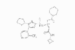 O=C(C[C@H](CC(=O)N1CCCCC1)NC(=O)c1cc(-c2ccccc2C(F)(F)F)n(C2CCCC2)n1)NC1CCC1